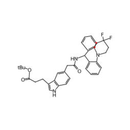 CC(C)(C)OC(=O)CCc1c[nH]c2ccc(CC(=O)NC(c3ccccc3)c3ccccc3N3CCC(F)(F)CC3)cc12